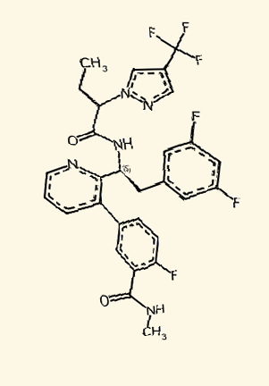 CCC(C(=O)N[C@@H](Cc1cc(F)cc(F)c1)c1ncccc1-c1ccc(F)c(C(=O)NC)c1)n1cc(C(F)(F)F)cn1